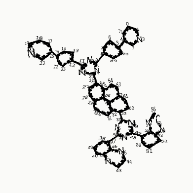 c1cncc(-c2ccc(-c3nc(-c4ccc(-c5cccnc5)cc4)nc(-c4ccc5ccc6c(-c7nc(-c8cccc9nccnc89)nc(-c8cccc9nccnc89)n7)ccc7ccc4c5c76)n3)cc2)c1